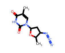 Cc1cn(C2CC(N=[N+]=[N-])C(C)O2)c(=O)[nH]c1=O